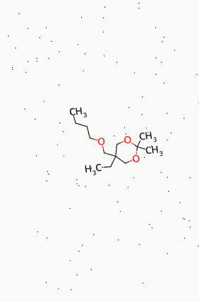 CCCCOCC1(CC)COC(C)(C)OC1